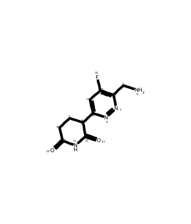 NCc1nnc(C2CCC(=O)NC2=O)cc1F